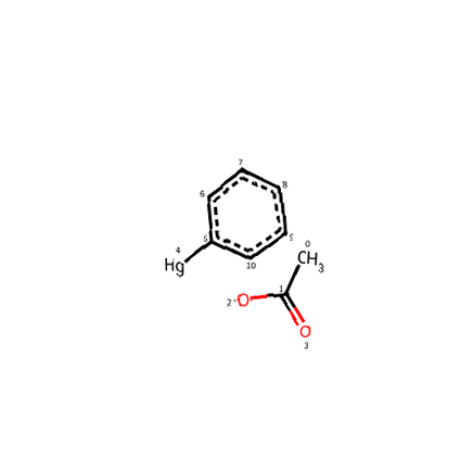 CC([O])=O.[Hg][c]1ccccc1